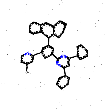 Cc1ccnc(-c2cc(-c3nc(-c4ccccc4)cc(-c4ccccc4)n3)cc(-c3c4ccccc4cc4ccccc34)c2)c1